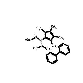 CCCCCCCCCC[NH][Hf]([C]1=C(C)C(C)=C(C)C1C)[SiH](C)C.c1ccc(-c2ccccc2)cc1